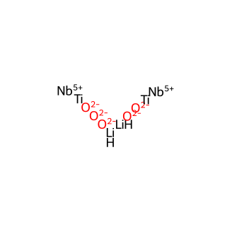 [LiH].[LiH].[Nb+5].[Nb+5].[O-2].[O-2].[O-2].[O-2].[O-2].[Ti].[Ti]